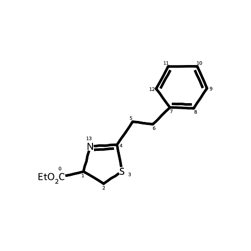 CCOC(=O)C1CSC(CCc2ccccc2)=N1